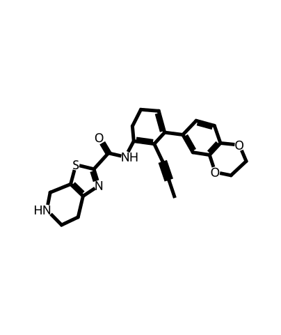 CC#CC1=C(NC(=O)c2nc3c(s2)CNCC3)CCC=C1c1ccc2c(c1)OCCO2